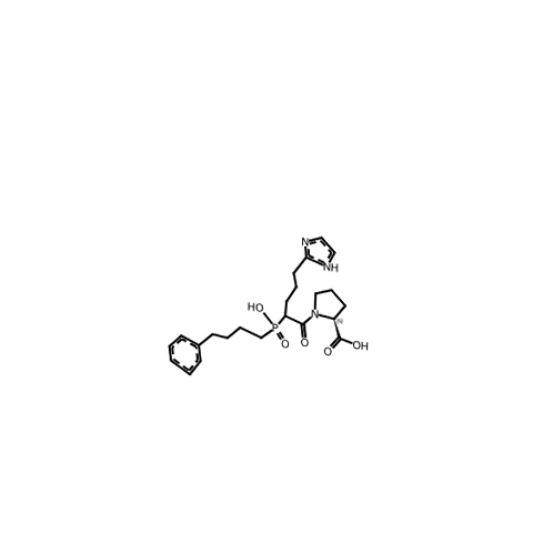 O=C(O)[C@@H]1CCCN1C(=O)C(CCCc1ncc[nH]1)P(=O)(O)CCCCc1ccccc1